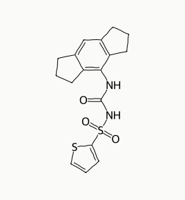 O=C(Nc1c2c(cc3c1CCC3)CCC2)NS(=O)(=O)c1cccs1